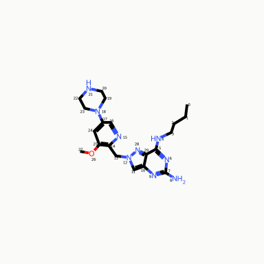 CCCCNc1nc(N)nc2cn(Cc3ncc(N4CCNCC4)cc3OC)nc12